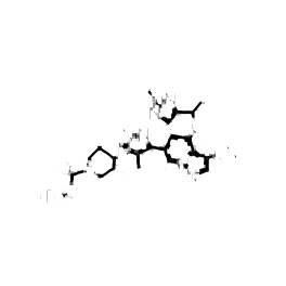 Cc1c(-c2cc(OC(C)c3cnn(C)n3)c3c(C#N)cnn3c2)nnn1C1CCN(C(=O)OC(C)(C)C)CC1